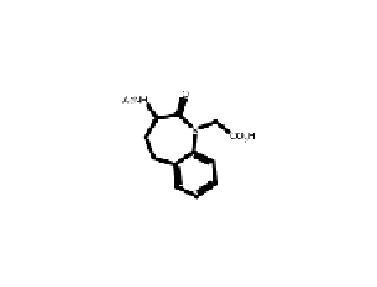 CC(=O)NC1CCc2ccccc2N(CC(=O)O)C1=O